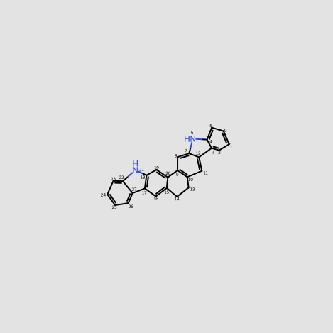 c1ccc2c(c1)[nH]c1cc3c(cc12)CCc1cc2c(cc1-3)[nH]c1ccccc12